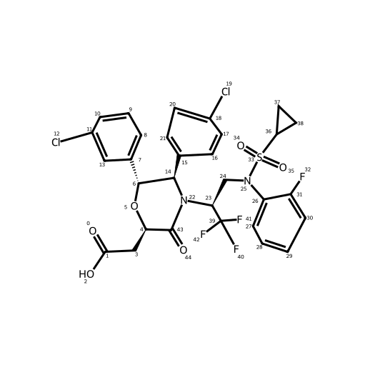 O=C(O)C[C@H]1O[C@H](c2cccc(Cl)c2)[C@@H](c2ccc(Cl)cc2)N([C@@H](CN(c2ccccc2F)S(=O)(=O)C2CC2)C(F)(F)F)C1=O